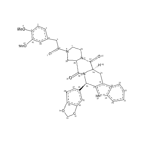 COc1ccc(CC(=O)N2CCN3C(=O)[C@H]4Cc5c([nH]c6ccccc56)[C@@H](c5ccc6c(c5)OCO6)N4C(=O)C3C2)cc1OC